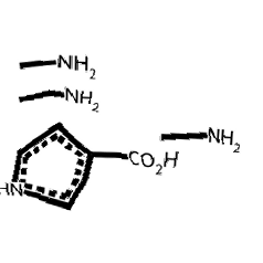 CN.CN.CN.O=C(O)c1cc[nH]c1